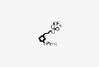 CCCCCc1cccc(CCCOC(=O)OC(F)(F)F)c1